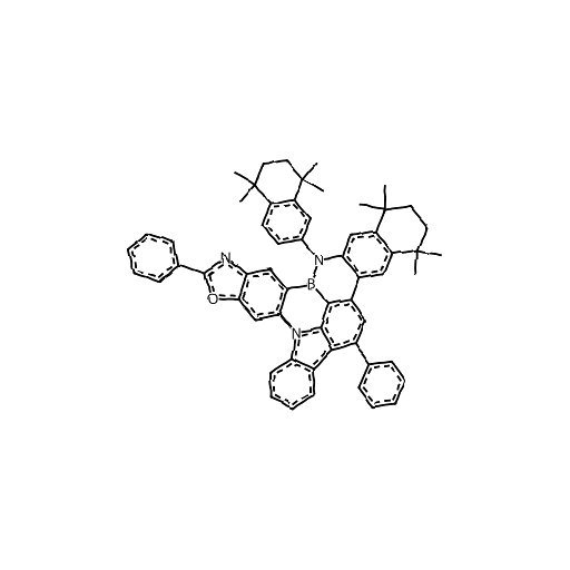 CC1(C)CCC(C)(C)c2cc(N3B4c5cc6nc(-c7ccccc7)oc6cc5-n5c6ccccc6c6c(-c7ccccc7)cc(c4c65)-c4cc5c(cc43)C(C)(C)CCC5(C)C)ccc21